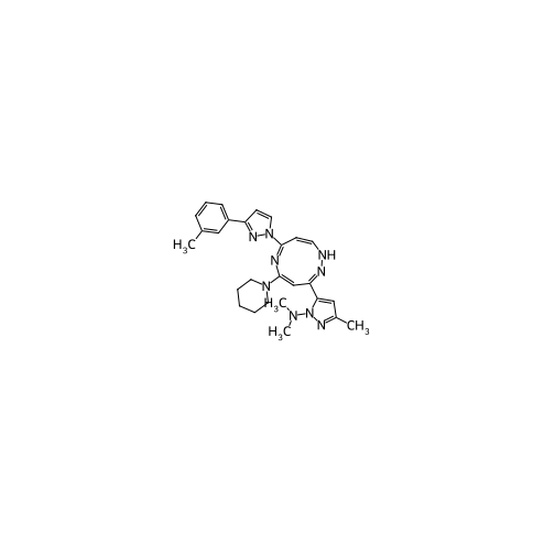 Cc1cccc(-c2ccn(-c3cc[nH]nc(-c4cc(C)nn4N(C)C)cc(N4CCCCC4)n3)n2)c1